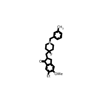 CCc1cc2c(cc1OC)CC(CC1(F)CCN(Cc3cccc(C)c3)CC1)C2=O